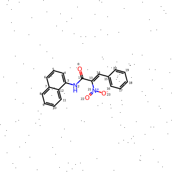 O=C(Nc1cccc2ccccc12)C(=Cc1ccccc1)[N+](=O)[O-]